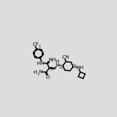 N#CC1C[C@@H](NC2CCC2)CC[C@H]1N/C=C(\C(=N)Nc1ccc(C(F)(F)F)cc1)C(N)=O